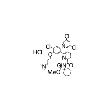 COC(=O)C1(NC(=O)c2ccc(-c3ncc(Cl)cc3Cl)c(-c3ccc(Cl)c(OCCCN(C)C)c3)n2)CCCCC1.Cl